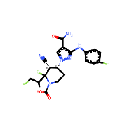 CC(CF)C1(F)[C@H](C#N)[C@H](n2cc(C(N)=O)c(Nc3ccc(F)cc3)n2)CCN1C(=O)O